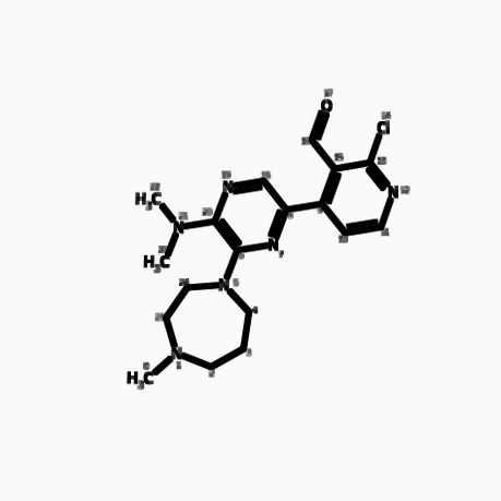 CN1CCCN(c2nc(-c3ccnc(Cl)c3C=O)cnc2N(C)C)CC1